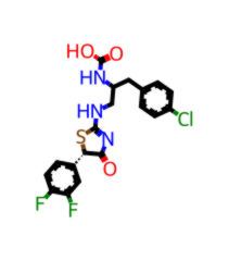 O=C(O)NC(CNC1=NC(=O)[C@H](c2ccc(F)c(F)c2)S1)Cc1ccc(Cl)cc1